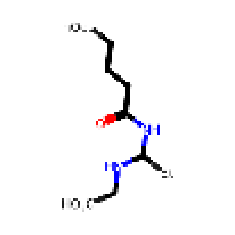 CCCCCCCCCCCC(=O)NC(CC)NCC(=O)O